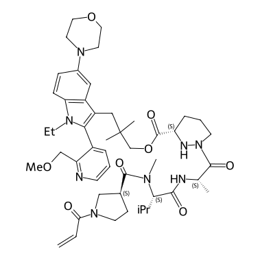 C=CC(=O)N1CC[C@H](C(=O)N(C)[C@H](C(=O)N[C@@H](C)C(=O)N2CCC[C@@H](C(=O)OCC(C)(C)Cc3c(-c4cccnc4COC)n(CC)c4ccc(N5CCOCC5)cc34)N2)C(C)C)C1